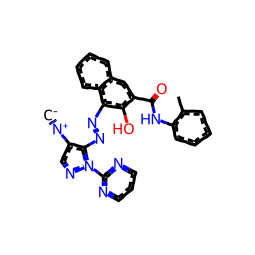 [C-]#[N+]c1cnn(-c2ncccn2)c1/N=N/c1c(O)c(C(=O)Nc2ccccc2C)cc2ccccc12